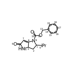 CC(C)C1CC2NC(=O)C=C2N1C(=O)OCc1ccccc1